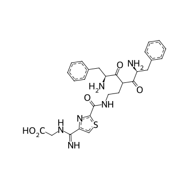 N=C(NCC(=O)O)c1csc(C(=O)NCCC(C(=O)[C@@H](N)Cc2ccccc2)C(=O)[C@@H](N)Cc2ccccc2)n1